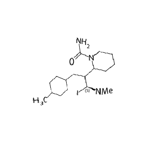 CN[C@@H](I)C(CC1CCC(C)CC1)C1CCCCN1C(N)=O